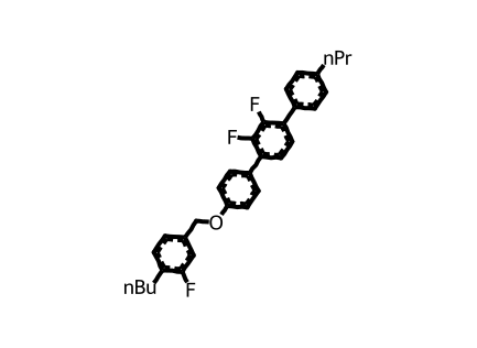 CCCCc1ccc(COc2ccc(-c3ccc(-c4ccc(CCC)cc4)c(F)c3F)cc2)cc1F